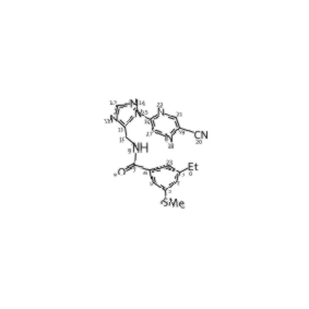 CCc1cc(SC)cc(C(=O)NCc2ncnn2-c2cnc(C#N)cn2)c1